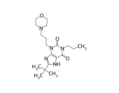 CCCn1c(=O)c2[nH]c(C(C)(C)C)nc2n(CCCN2CCOCC2)c1=O